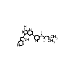 CN(C)CC(=O)Nc1cncc(-c2cnc3[nH]nc(-c4cc5cnccc5[nH]4)c3c2)c1